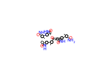 CNC(=O)c1ccc(C)c(-c2ccc3c(c2)NC(=O)C32CCCC2)c1.Cc1ccc(C(N)=O)cc1-c1ccc2c(c1)NC(=O)C2(C)C.Cc1ccc(C(N)=O)cc1-c1ccc2c(c1)NC(=O)C21CCCC1